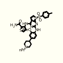 CCCN1CCC(c2ccc(Nc3nc(Nc4ccsc4C(N)=O)c4ccn(S(=O)(=O)c5ccc(C)cc5)c4n3)c(OC)c2)CC1